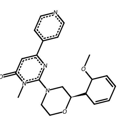 COC1C=CC=CC1[C@@H]1CN(c2nc(-c3ccncc3)cc(=O)n2C)CCO1